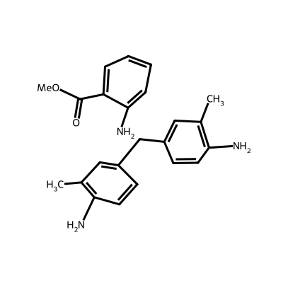 COC(=O)c1ccccc1N.Cc1cc(Cc2ccc(N)c(C)c2)ccc1N